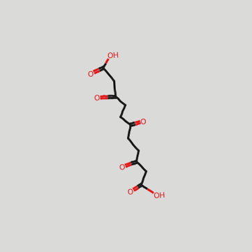 O=C(O)CC(=O)CCC(=O)CCC(=O)CC(=O)O